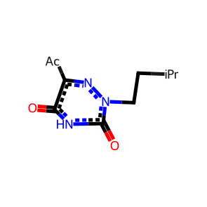 CC(=O)c1nn(CCC(C)C)c(=O)[nH]c1=O